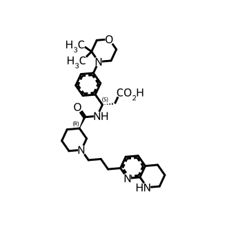 CC1(C)COCCN1c1cccc([C@H](CC(=O)O)NC(=O)[C@@H]2CCCN(CCCc3ccc4c(n3)NCCC4)C2)c1